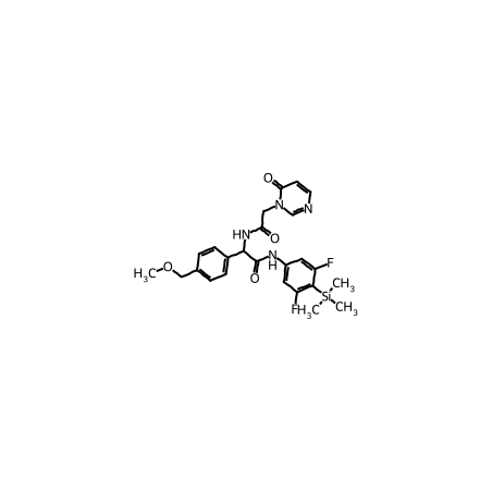 COCc1ccc(C(NC(=O)Cn2cnccc2=O)C(=O)Nc2cc(F)c([Si](C)(C)C)c(F)c2)cc1